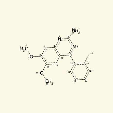 COc1cc2nc(N)nc(-c3ccccc3I)c2cc1OC